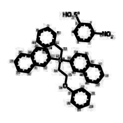 O=[N+]([O-])c1cccc(S(=O)(=O)O)c1.c1ccc(C[N+](CCOc2ccccc2)(c2ccc3ccccc3c2)c2ccc3ccccc3c2)cc1